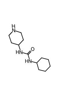 O=C(NC1CCCCC1)NC1CCNCC1